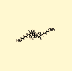 CC(C)OCCCCCC(=O)C(C)OCC1(CO)CC(O)(C(C)C(=O)CCCCCO)C1